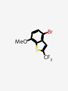 COc1ccc(Br)c2cc(C(F)(F)F)sc12